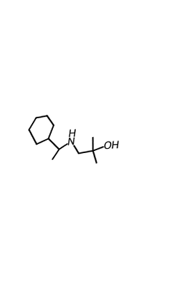 CC(NCC(C)(C)O)C1CCCCC1